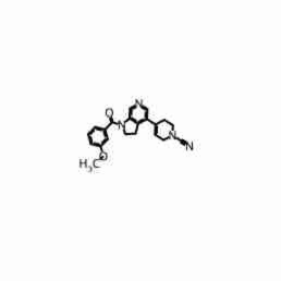 COc1cccc(C(=O)N2CCc3c(C4=CCN(C#N)CC4)cncc32)c1